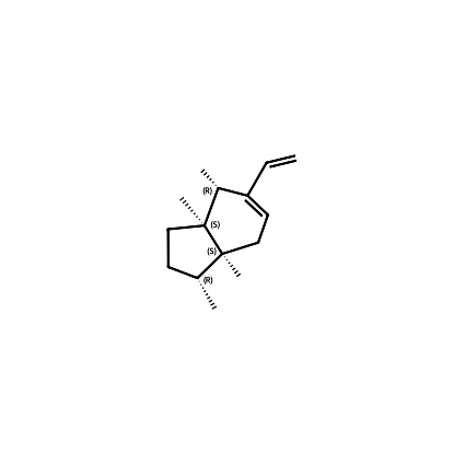 C=CC1=CC[C@@]2(C)[C@H](C)CC[C@@]2(C)[C@@H]1C